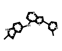 Cc1cc(-c2cc3nccc(Nc4ccc5[nH]c(C)cc5c4)c3s2)ccn1